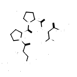 C[C@@H](O)[C@H](NC(=O)[C@@H]1CCCN1C(=O)[C@@H]1CCCN1C(=O)[C@@H](N)CO)C(N)=O